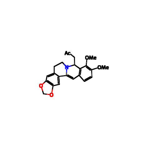 COc1ccc2c(c1OC)C(CC(C)=O)N1CCc3cc4c(cc3C1=C2)OCO4